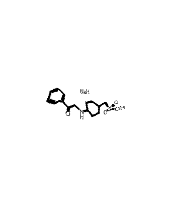 O=C(CNC1CCC(CS(=O)(=O)O)CC1)c1ccccc1.[NaH]